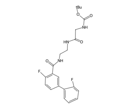 CC(C)(C)OC(=O)NCC(=O)NCCNC(=O)c1cc(-c2ccccc2F)ccc1F